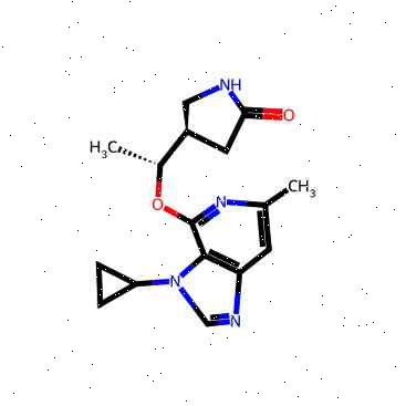 Cc1cc2ncn(C3CC3)c2c(O[C@H](C)[C@H]2CNC(=O)C2)n1